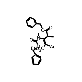 CCOC(=O)C(C(C)=O)=C(C(C)C(=O)OCc1ccccc1)N(C)C(=O)OCc1ccccc1